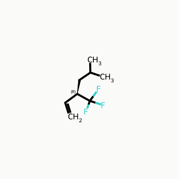 C=C[C@@H](CC(C)C)C(F)(F)F